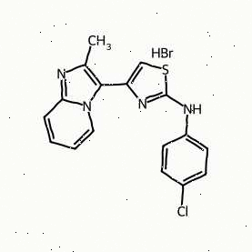 Br.Cc1nc2ccccn2c1-c1csc(Nc2ccc(Cl)cc2)n1